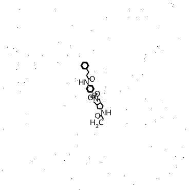 C=CC(=O)NC1CC2CN(S(=O)(=O)c3ccc(NC(=O)CCc4ccccc4)cc3)CC2C1